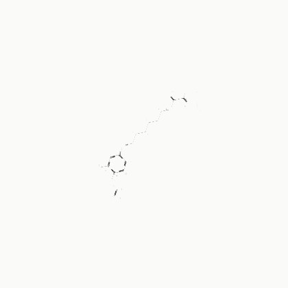 C=C(C)C(=O)OCCCCCCOc1ccc(SC=O)c(C)c1